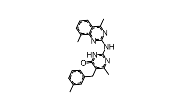 Cc1cccc(Cc2c(C)nc(Nc3nc(C)c4cccc(C)c4n3)[nH]c2=O)c1